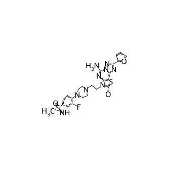 CS(=N)(=O)c1ccc(N2CCN(CCn3c(=O)sc4c3nc(N)n3nc(-c5ccco5)nc43)CC2)c(F)c1